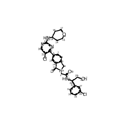 O=C(CN1Cc2ccc(-c3nc(NC4CCOCC4)ncc3Cl)cc2C1=O)NC(CO)c1cccc(Cl)c1